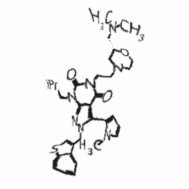 CC(C)Cn1c(=O)n(CCN2CCO[C@@H](CN(C)C)C2)c(=O)c2c(-c3cccn3C)n(Cc3csc4ccccc34)nc21